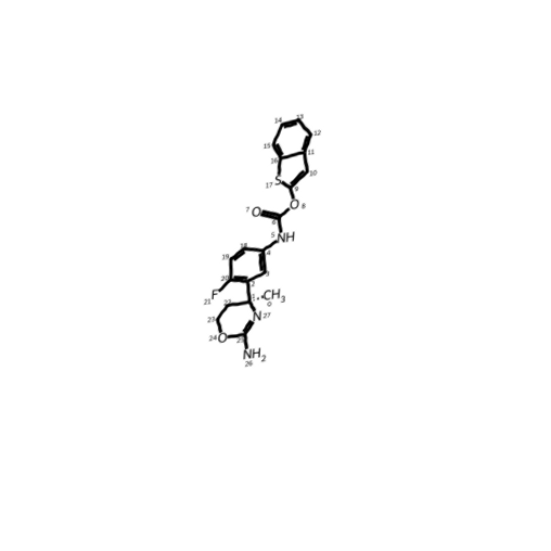 C[C@@]1(c2cc(NC(=O)Oc3cc4ccccc4s3)ccc2F)CCOC(N)=N1